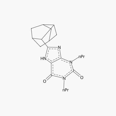 CCCn1c(=O)c2[nH]c(C3C4CC5CC(C4)C3C5)nc2n(CCC)c1=O